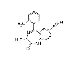 C#Cc1ccc2c(c1)C(c1ccccc1C)=NC(C)C(=O)N2